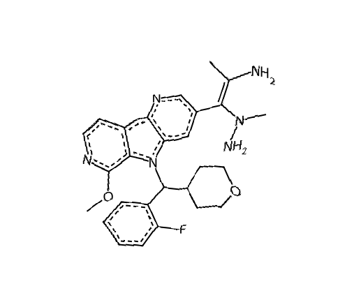 COc1nccc2c3ncc(/C(=C(\C)N)N(C)N)cc3n(C(c3ccccc3F)C3CCOCC3)c12